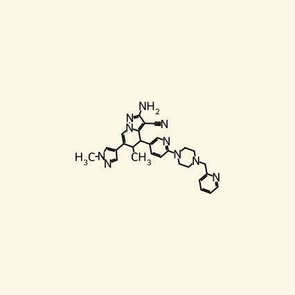 CC1C(c2cnn(C)c2)=Cn2nc(N)c(C#N)c2C1c1ccc(N2CCN(Cc3ccccn3)CC2)nc1